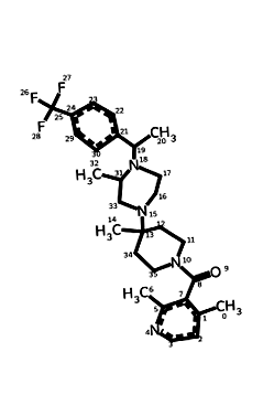 Cc1ccnc(C)c1C(=O)N1CCC(C)(N2CCN(C(C)c3ccc(C(F)(F)F)cc3)C(C)C2)CC1